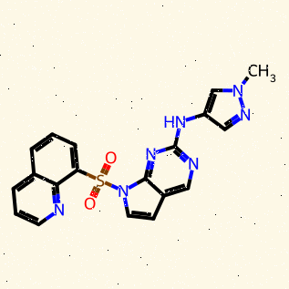 Cn1cc(Nc2ncc3ccn(S(=O)(=O)c4cccc5cccnc45)c3n2)cn1